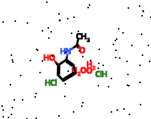 CC(=O)Nc1ccccc1O.Cl.Cl.O.O